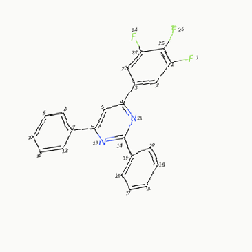 Fc1cc(-c2cc(-c3ccccc3)nc(-c3ccccc3)n2)cc(F)c1F